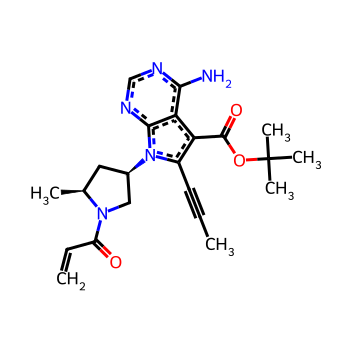 C=CC(=O)N1C[C@H](n2c(C#CC)c(C(=O)OC(C)(C)C)c3c(N)ncnc32)C[C@@H]1C